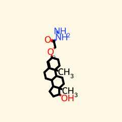 CC12CC[C@H](OCC(=O)NN)C=C1CCC1C2CCC2(C)C(O)CCC12